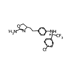 NC1=NC(CCc2ccc(N[C@H](c3ccc(Cl)cc3)C(F)(F)F)cc2)CO1